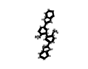 Nc1ccc(-c2nc3ccccc3s2)cc1-c1cc(-c2nc3ccccc3s2)ccc1N